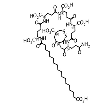 NC(=O)CC[C@H](NC(=O)CC[C@H](NC(=O)CC[C@@H](NC(=O)CC[C@H](NC(=O)CC[C@H](NC(=O)CCCCCCCCCCCCCCCCC(=O)O)C(=O)O)C(=O)O)C(=O)O)C(=O)O)C(=O)C[C@H]1CSSC[C@@H](C(=O)O)CC1=O